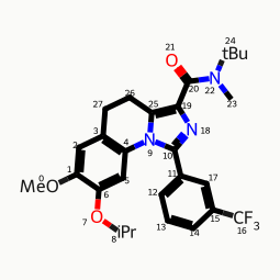 COc1cc2c(cc1OC(C)C)-n1c(-c3cccc(C(F)(F)F)c3)nc(C(=O)N(C)C(C)(C)C)c1CC2